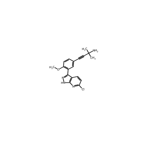 COc1ccc(C#CC(C)(C)N)cc1-c1n[nH]c2nc(Cl)ccc12